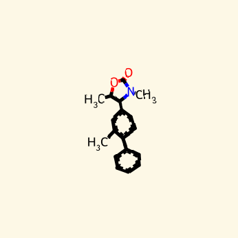 Cc1cc(C2C(C)OC(=O)N2C)ccc1-c1ccccc1